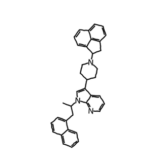 CC(Cc1cccc2ccccc12)n1cc(C2CCN(C3Cc4cccc5cccc3c45)CC2)c2cccnc21